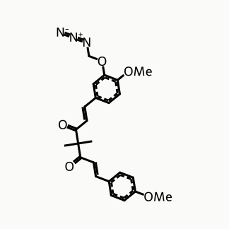 COc1ccc(/C=C/C(=O)C(C)(C)C(=O)/C=C/c2ccc(OC)c(OCN=[N+]=[N-])c2)cc1